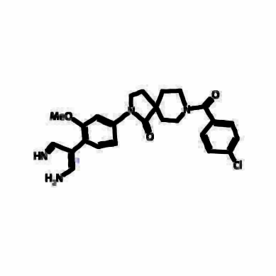 COc1cc(N2CCC3(CCN(C(=O)c4ccc(Cl)cc4)CC3)C2=O)ccc1/C(C=N)=C/N